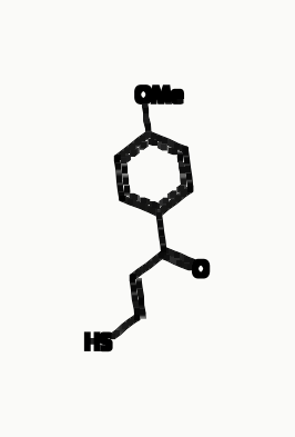 COc1ccc(C(=O)/C=C/S)cc1